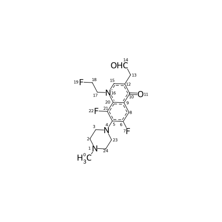 CN1CCN(c2c(F)cc3c(=O)c(CC=O)cn(CCF)c3c2F)CC1